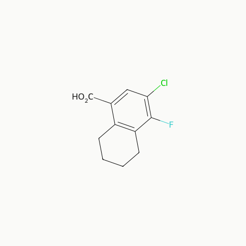 O=C(O)c1cc(Cl)c(F)c2c1CCCC2